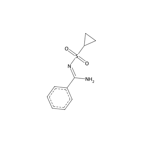 NC(=NS(=O)(=O)C1CC1)c1ccccc1